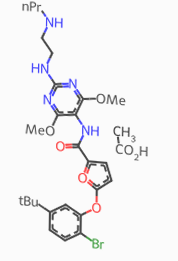 CC(=O)O.CCCNCCNc1nc(OC)c(NC(=O)c2ccc(Oc3cc(C(C)(C)C)ccc3Br)o2)c(OC)n1